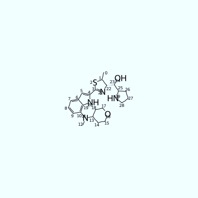 CC1SC(c2cc3cccc(N(C)C4CCOCC4)c3[nH]2)=N[C@H]1C(O)C1CCCN1